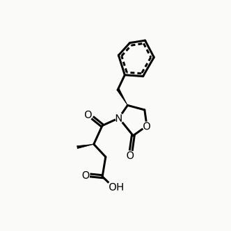 C[C@H](CC(=O)O)C(=O)N1C(=O)OC[C@@H]1Cc1ccccc1